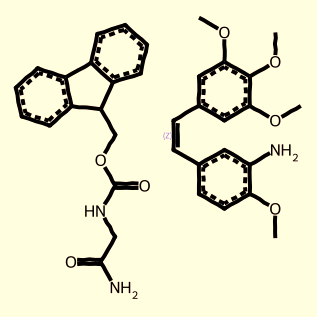 COc1ccc(/C=C\c2cc(OC)c(OC)c(OC)c2)cc1N.NC(=O)CNC(=O)OCC1c2ccccc2-c2ccccc21